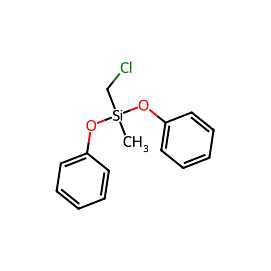 C[Si](CCl)(Oc1ccccc1)Oc1ccccc1